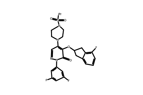 CC(C)S(=O)(=O)N1CCN(c2cnn(-c3cc(F)cc(F)c3)c(=O)c2OC2Cc3cccc(F)c3C2)CC1